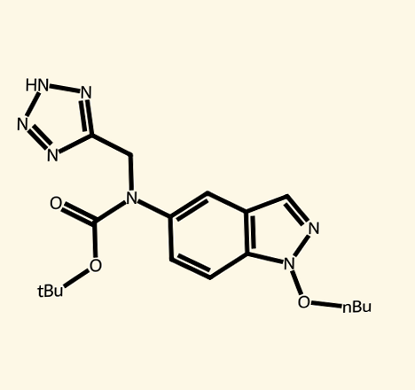 CCCCOn1ncc2cc(N(Cc3nn[nH]n3)C(=O)OC(C)(C)C)ccc21